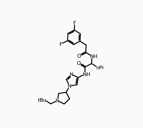 CCCC(NC(=O)Cc1cc(F)cc(F)c1)C(=O)Nc1cn(C2CCN(CC(C)(C)C)C2)cn1